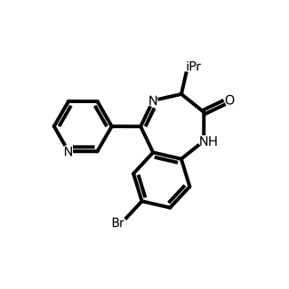 CC(C)C1N=C(c2cccnc2)c2cc(Br)ccc2NC1=O